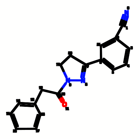 N#Cc1cccc(C2=NN(C(=O)Cc3ccccc3)CC2)c1